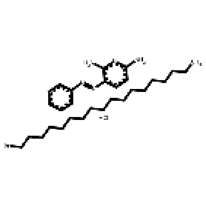 CCCCCCCCCCCCCCCCCCBr.Cl.Nc1ccc(/N=N/c2ccccc2)c(N)n1